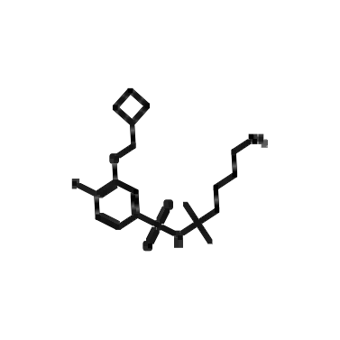 CC(C)(CCCCN)NS(=O)(=O)c1ccc(F)c(OCC2CCC2)c1